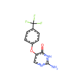 Nc1ncc(Oc2ccc(C(F)(F)F)cc2)c(=O)[nH]1